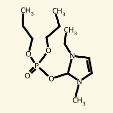 CCCOP(=O)(OCCC)OC1N(C)C=CN1CC